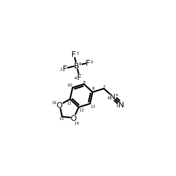 F[B-](F)(F)F.N#[N+]Cc1ccc2c(c1)OCO2